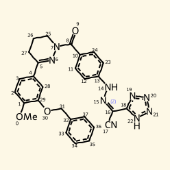 COc1ccc(C2=NN(C(=O)c3ccc(N/N=C(/C#N)c4nnn[nH]4)cc3)CCC2)cc1OCc1ccccc1